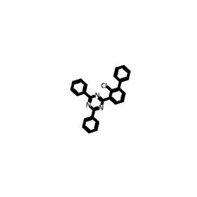 Clc1c(-c2ccccc2)cccc1-c1nc(-c2ccccc2)nc(-c2ccccc2)n1